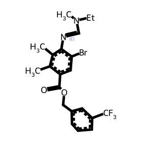 CCN(C)/C=N/c1c(Br)cc(C(=O)OCc2cccc(C(F)(F)F)c2)c(C)c1C